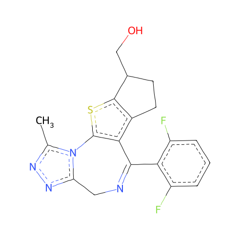 Cc1nnc2n1-c1sc3c(c1C(c1c(F)cccc1F)=NC2)CCC3CO